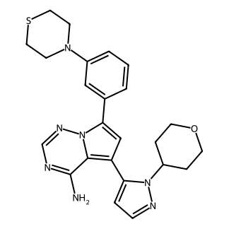 Nc1ncnn2c(-c3cccc(N4CCSCC4)c3)cc(-c3ccnn3C3CCOCC3)c12